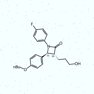 CCCCOc1ccc([C@@H]2[C@@H](CCCO)C(=O)N2c2ccc(F)cc2)cc1